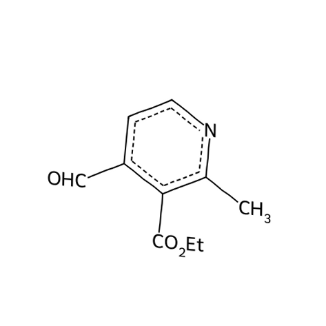 CCOC(=O)c1c(C=O)ccnc1C